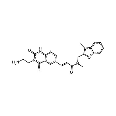 Cc1c(CN(C)C(=O)/C=C/c2cnc3[nH]c(=O)n(CCN)c(=O)c3c2)oc2ccccc12